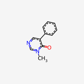 Cn1cncc(-c2ccccc2)c1=O